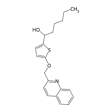 CCCCCC(O)c1ccc(OCc2ccc3ccccc3n2)s1